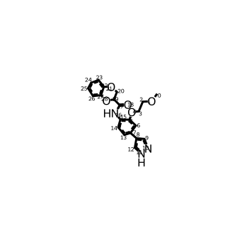 COCCOc1cc(-c2cn[nH]c2)ccc1NC(=O)C1COc2ccccc2O1